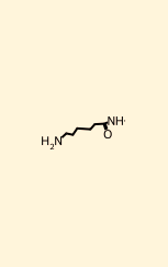 [NH]C(=O)CCCCCN